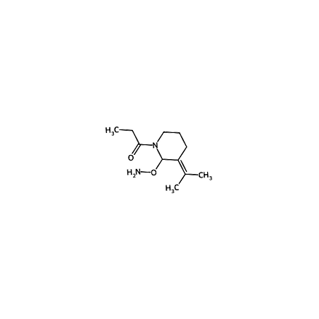 CCC(=O)N1CCCC(=C(C)C)C1ON